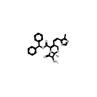 Cc1ncsc1/C=C\C1=C(C(=O)OC(c2ccccc2)c2ccccc2)N2C(=O)C(N)[C@@H]2SC1